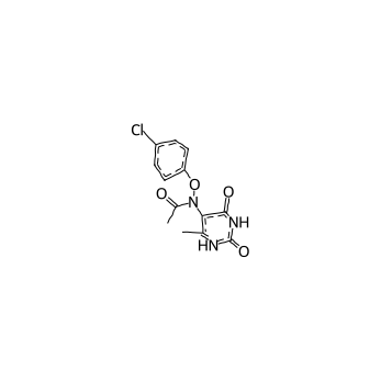 CC(=O)N(Oc1ccc(Cl)cc1)c1c(C)[nH]c(=O)[nH]c1=O